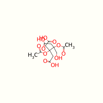 CC(=O)OC(CO)(CC(=O)O)C(CC(=O)O)(CC(=O)O)OC(C)=O